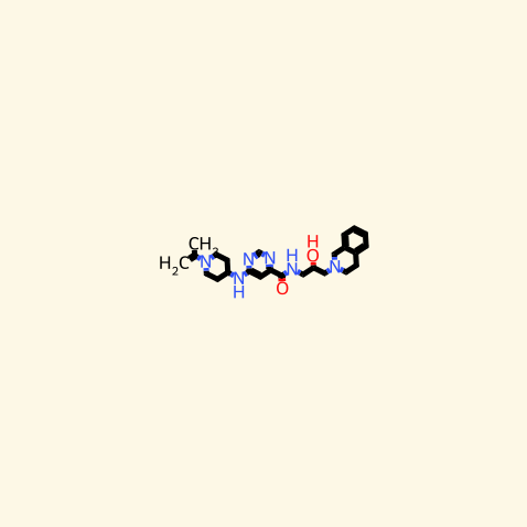 C=C(C)N1CCC(Nc2cc(C(=O)NCC(O)CN3CCc4ccccc4C3)ncn2)CC1